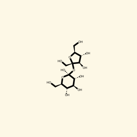 OC[C@@H]1O[C@@](CO)(O[C@]2(O)O[C@H](CO)[C@@H](O)[C@H](O)[C@H]2O)[C@H](O)[C@H]1O